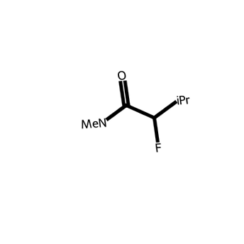 CNC(=O)C(F)C(C)C